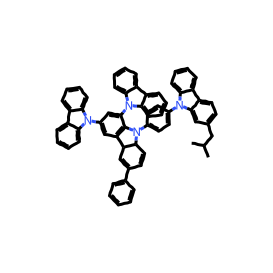 CC(C)Cc1ccc2c3ccccc3n(-c3ccc(N4c5c(cc(-n6c7ccccc7c7ccccc76)cc5-n5c6ccccc6c6ccccc65)C5C=C(c6ccccc6)C=CC54)cc3)c2c1